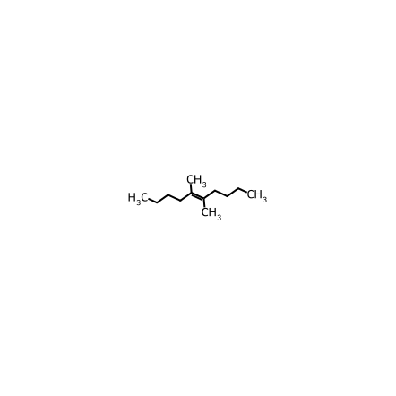 CCCC/C(C)=C(\C)CCCC